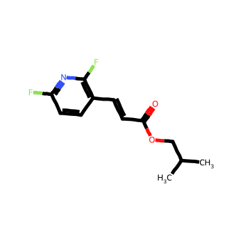 CC(C)COC(=O)/C=C/c1ccc(F)nc1F